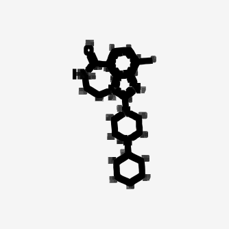 Cc1ccc2c3c1nc(N1CCN(C4CCCCC4)CC1)n3CCNC2=O